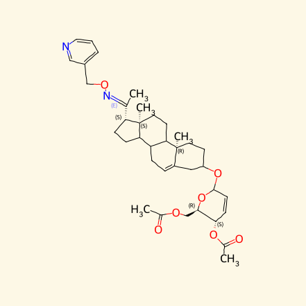 CC(=O)OC[C@H]1OC(OC2CC[C@@]3(C)C(=CCC4C3CC[C@@]3(C)C4CC[C@@H]3/C(C)=N/OCc3cccnc3)C2)C=C[C@@H]1OC(C)=O